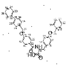 O=C(N[C@@H](Cc1ccc(OCc2ccccc2)cc1)C(=O)O)c1ccc(OCc2ccc(-c3ccccc3)cc2)cc1